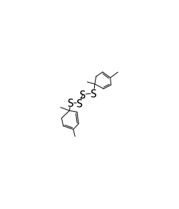 CC1=CCC(C)(SSSSC2(C)C=CC(C)=CC2)C=C1